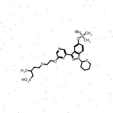 CC(CCOCCOc1cncc(-c2nn(C3CCCCO3)c3ccc(O[Si](C)(C)C(C)(C)C)cc23)n1)CS(=O)(=O)O